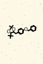 CC(C)(C)OC(Cc1ccc(OCc2ccccc2)cc1)C(=O)C(C)(C)C